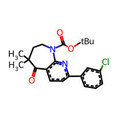 CC(C)(C)OC(=O)N1CCC(C)(C)C(=O)c2ccc(-c3cccc(Cl)c3)nc21